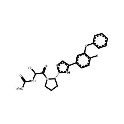 COC(=O)NC(C(=O)N1CCC[C@H]1c1ncc(-c2ccc(I)c(Sc3ccccc3)c2)[nH]1)C(C)C